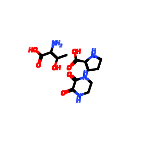 CC(O)C(N)C(=O)O.O=C(O)[C@@H]1CCCN1.O=C1NCCNC1=O